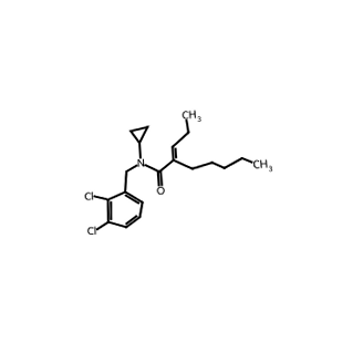 CCC=C(CCCCC)C(=O)N(Cc1cccc(Cl)c1Cl)C1CC1